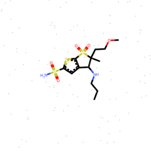 CCCNC1c2cc(S(N)(=O)=O)sc2S(=O)(=O)C1(C)CCOC